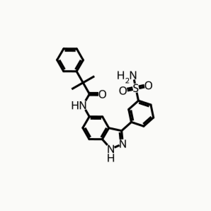 CC(C)(C(=O)Nc1ccc2[nH]nc(-c3cccc(S(N)(=O)=O)c3)c2c1)c1ccccc1